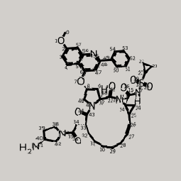 COc1ccc2c(O[C@@H]3C[C@H]4C(=O)N[C@]5(C(=O)NS(=O)(=O)C6CC6)CC5C=CCCCCC[C@H](CC(=O)N5CC[C@H](N)C5)C(=O)N4C3)cc(-c3ccccc3)nc2c1